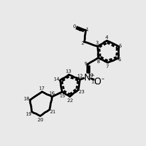 C=CCc1ccccc1C=[N+]([O-])c1ccc(C2CCCCC2)cc1